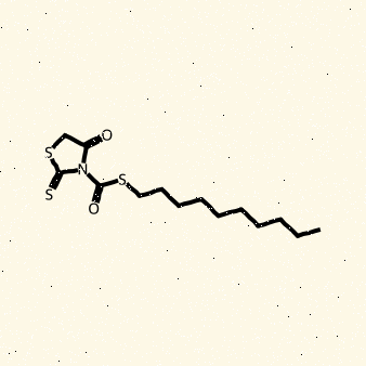 CCCCCCCCCCSC(=O)N1C(=O)CSC1=S